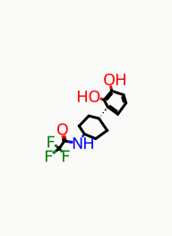 O=C(N[C@H]1CC[C@H](c2cccc(O)c2O)CC1)C(F)(F)F